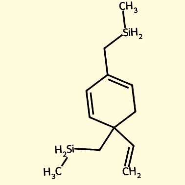 C=CC1(C[SiH2]C)C=CC(C[SiH2]C)=CC1